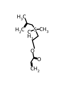 C=CC(=O)OCCCS(C)(C)CC(=C)C